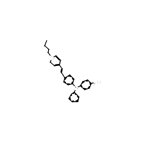 CCCCN1C=CC(/C=C/c2ccc(N(c3ccccc3)c3ccc(O)cc3)cc2)=CC1